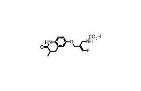 CC1Cc2cc(OCC(=CF)CNC(=O)O)ccc2NC1=O